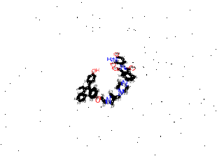 CCC(=C(c1ccc(O)cc1)c1ccc(OCCN2CC(CN3CCN(c4ccc5c(c4)C(=O)N(C4CCC(=O)NC4=O)C5=O)CC3)C2)cc1)c1ccccc1